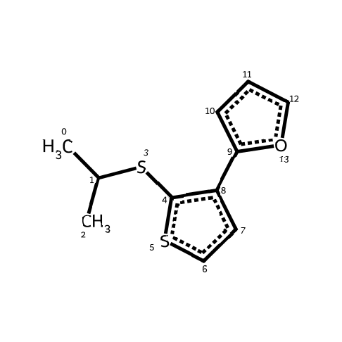 CC(C)Sc1sccc1-c1ccco1